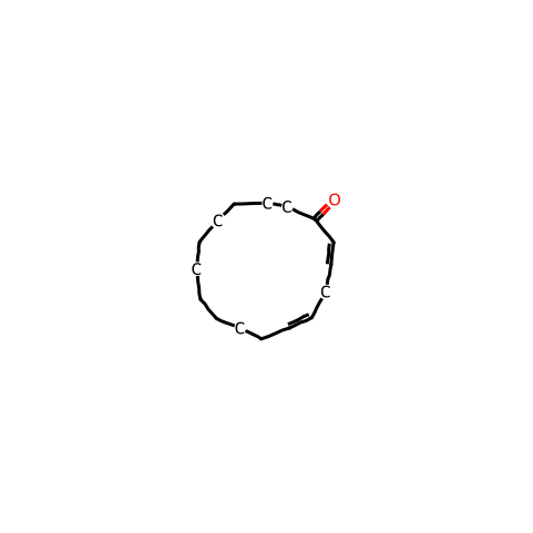 O=C1C=CCC=CCCCCCCCCCC1